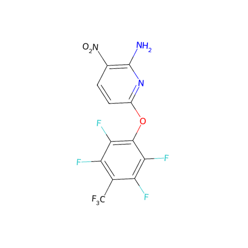 Nc1nc(Oc2c(F)c(F)c(C(F)(F)F)c(F)c2F)ccc1[N+](=O)[O-]